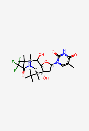 Cc1cn([C@H]2C[C@@](O)([Si](C)(C)C(C)(C)C)[C@@](CNC(=O)C(F)(F)F)(C(O)[Si](C)(C)C(C)(C)C)O2)c(=O)[nH]c1=O